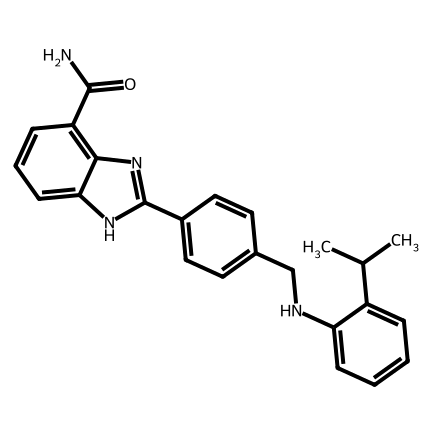 CC(C)c1ccccc1NCc1ccc(-c2nc3c(C(N)=O)cccc3[nH]2)cc1